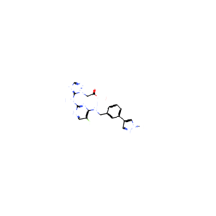 Cn1cc(-c2cccc(CNc3nc(Nc4ncnn4CC(=O)O)ncc3F)c2)cn1